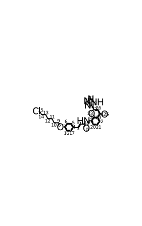 O=C(C=Cc1ccc(OCCCCCCCl)cc1)Nc1cccc2c(=O)cc(-c3nnn[nH]3)oc12